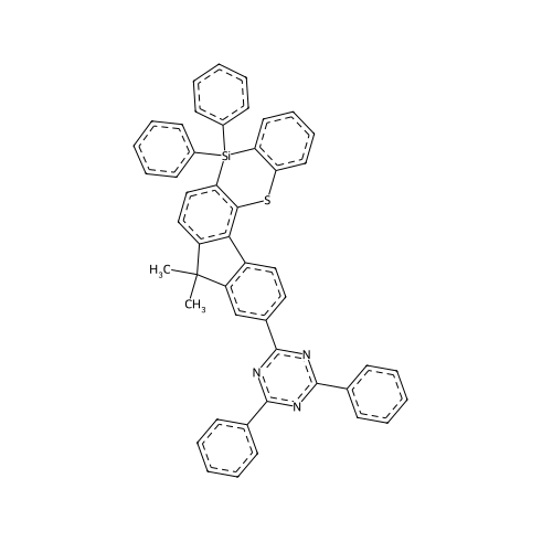 CC1(C)c2cc(-c3nc(-c4ccccc4)nc(-c4ccccc4)n3)ccc2-c2c1ccc1c2Sc2ccccc2[Si]1(c1ccccc1)c1ccccc1